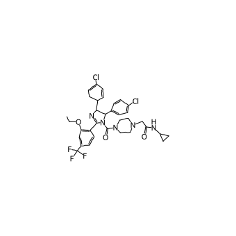 CCOc1cc(C(F)(F)F)ccc1C1=NC(C2C=CC(Cl)=CC2)C(c2ccc(Cl)cc2)N1C(=O)N1CCN(CC(=O)NC2CC2)CC1